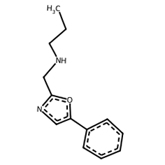 CCCNCc1ncc(-c2ccccc2)o1